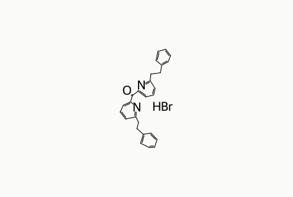 Br.O=C(c1cccc(CCc2ccccc2)n1)c1cccc(CCc2ccccc2)n1